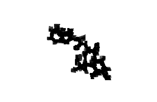 O=C(CN1C[C@]2(CC2(F)F)c2c(ccc(Br)c2F)C1=O)Nc1nc2ccccn2n1